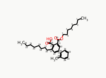 CCCCCCCCOC(=O)c1cccc(CCCCCCCC)c1C(=O)O.Cc1ccccc1